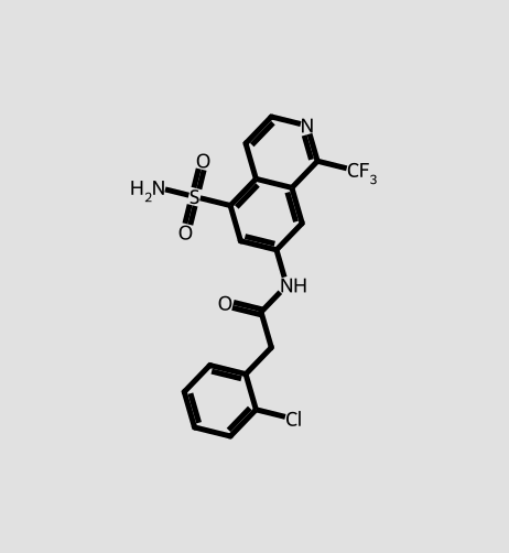 NS(=O)(=O)c1cc(NC(=O)Cc2ccccc2Cl)cc2c(C(F)(F)F)nccc12